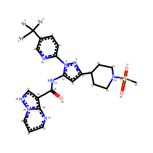 [2H]C([2H])([2H])c1ccc(-n2nc(C3CCN(S(C)(=O)=O)CC3)cc2NC(=O)c2cnn3cccnc23)nc1